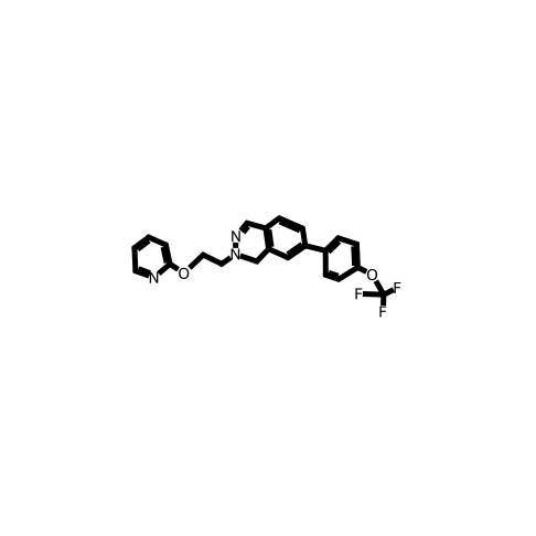 FC(F)(F)Oc1ccc(-c2ccc3c(c2)CN(CCOc2ccccn2)N=C3)cc1